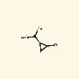 CCCC(NC)[C@@H]1CC1CC